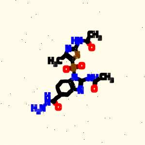 CC(=O)Nc1nc(C)c(S(=O)(=O)n2c(NC(C)=O)nc3c2CCC(C(=O)NN)=C3)s1